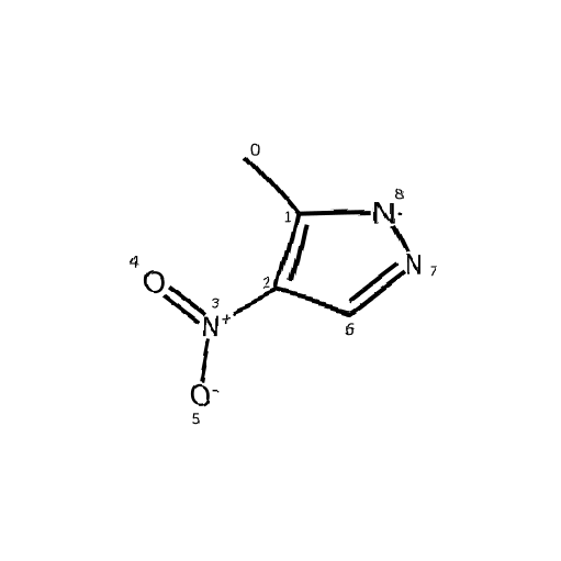 CC1=C([N+](=O)[O-])C=N[N]1